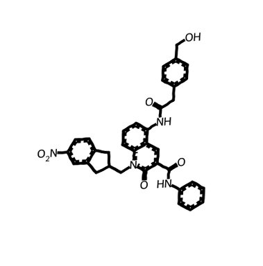 O=C(Cc1ccc(CO)cc1)Nc1cccc2c1cc(C(=O)Nc1ccccc1)c(=O)n2CC1Cc2ccc([N+](=O)[O-])cc2C1